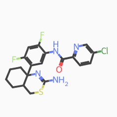 NC1=NC2(c3cc(NC(=O)c4ccc(Cl)cn4)c(F)cc3F)CCCCC2CS1